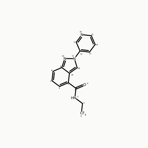 O=C(NCC(F)(F)F)c1cccc2nn(-c3cccnc3)cc12